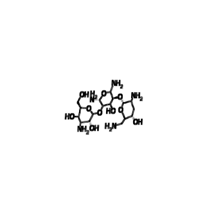 NCC1O[C@H](O[C@@H]2C(N)O[C@@H](N)C(OC3O[C@H](CO)C(O)C(N)[C@H]3O)C2O)C(N)C[C@@H]1O